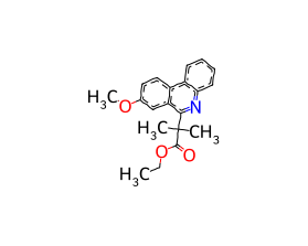 CCOC(=O)C(C)(C)c1nc2ccccc2c2ccc(OC)cc12